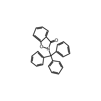 O=c1c2ccccc2on1C(c1ccccc1)(c1ccccc1)c1ccccc1